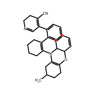 CC1CCC2=C(C1)N(C1=C(c3ccccc3C3=C(C#N)CCN=C3)CCCC1)C1C=CC=CC1O2